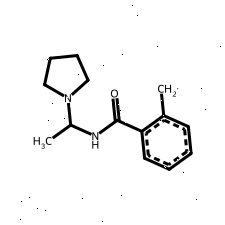 [CH2]c1ccccc1C(=O)NC(C)N1CCCC1